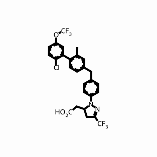 Cc1cc(Cc2ccc(N3N=C(C(F)(F)F)CC3CC(=O)O)cc2)ccc1-c1cc(OC(F)(F)F)ccc1Cl